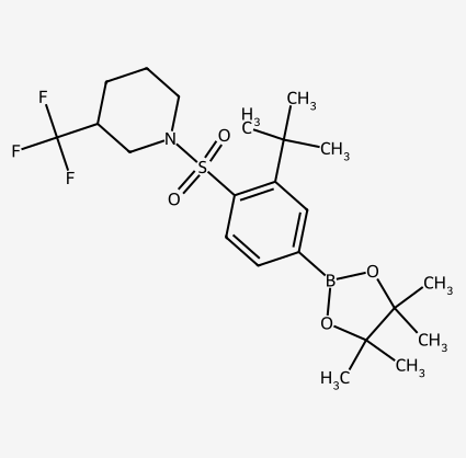 CC(C)(C)c1cc(B2OC(C)(C)C(C)(C)O2)ccc1S(=O)(=O)N1CCCC(C(F)(F)F)C1